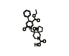 CCOC(=O)c1cn(C[C@@]2(O)CCN(C(=O)O)CC23CCCC3)c(=O)cc1-c1ccccc1